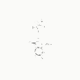 COc1cc(I)ccc1C(=O)OCCNS(=O)(=O)C(F)(F)F